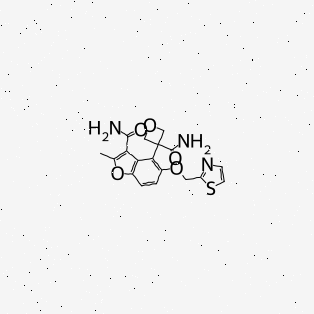 Cc1oc2ccc(OCc3nccs3)c(C3(C(N)=O)COC3)c2c1C(N)=O